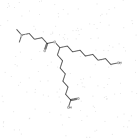 CN(C)CCCC(=O)OC(CCCCCCCCO)CCCCCCCC(=O)O